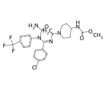 C=C(/N=C(/c1ccc(Cl)cc1)N(C(N)=O)c1ccc(C(F)(F)F)cc1)N1CCC(NC(=O)OC)CC1